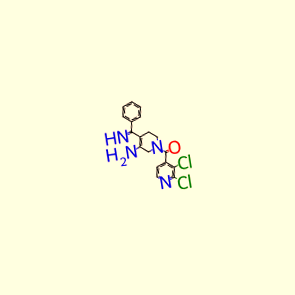 N=C(C1=C(N)CN(C(=O)c2ccnc(Cl)c2Cl)CC1)c1ccccc1